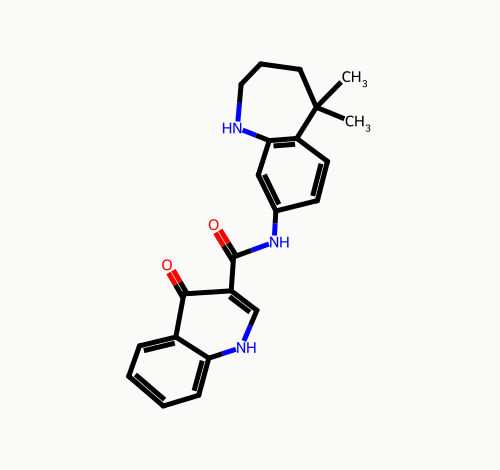 CC1(C)CCCNc2cc(NC(=O)c3c[nH]c4ccccc4c3=O)ccc21